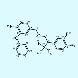 Fc1ccc(C(COCc2ccc(F)c(Oc3ccccc3)c2)C(F)(F)F)cc1F